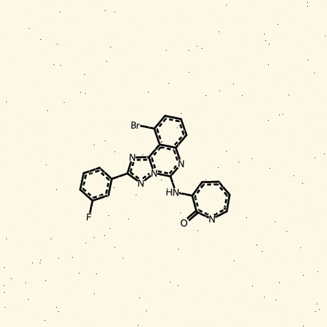 O=c1nccccc1Nc1nc2cccc(Br)c2c2nc(-c3cccc(F)c3)nn12